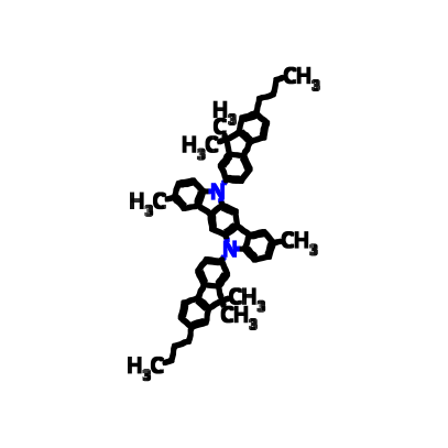 CCCCc1ccc2c(c1)C(C)(C)c1cc(-n3c4ccc(C)cc4c4cc5c(cc43)c3cc(C)ccc3n5-c3ccc4c(c3)C(C)(C)c3cc(CCCC)ccc3-4)ccc1-2